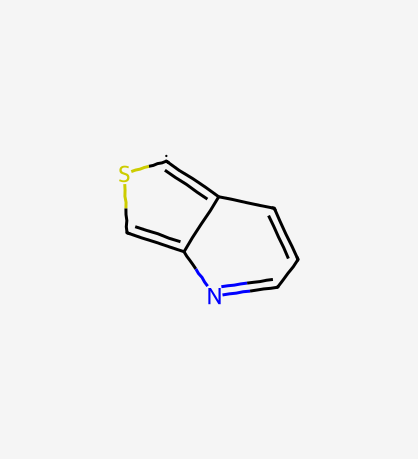 [c]1scc2ncccc12